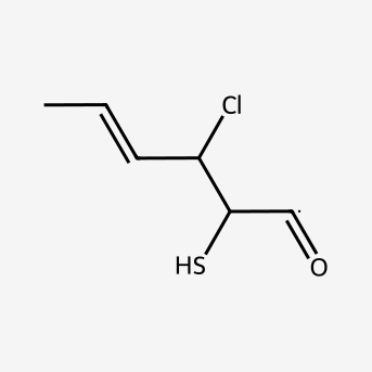 C/C=C/C(Cl)C(S)[C]=O